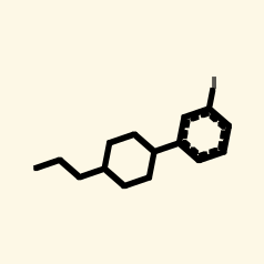 CCCC1CCC(c2cccc(I)c2)CC1